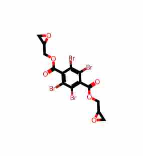 O=C(OCC1CO1)c1c(Br)c(Br)c(C(=O)OCC2CO2)c(Br)c1Br